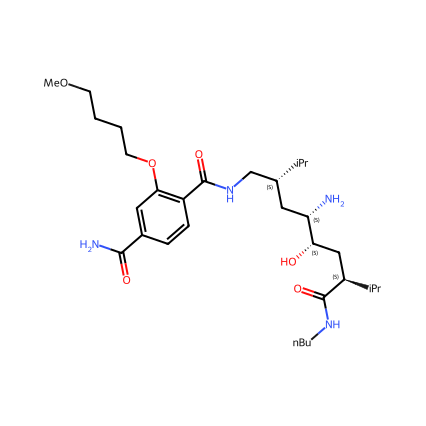 CCCCNC(=O)[C@@H](C[C@H](O)[C@@H](N)C[C@H](CNC(=O)c1ccc(C(N)=O)cc1OCCCCOC)C(C)C)C(C)C